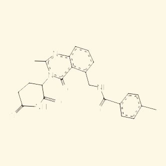 Cc1ccc(C(=O)NCc2cccc3nc(C)n(C4CCC(=O)NC4=O)c(=O)c23)cc1